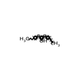 CCCCc1ccc(Oc2cc(O)cc(Oc3ccc(CCCC)cc3)c2)cc1